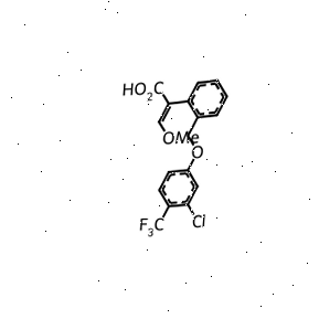 CO/C=C(/C(=O)O)c1ccccc1COc1ccc(C(F)(F)F)c(Cl)c1